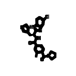 Cc1cc(C(=O)N[C@@H](Cc2ccsc2)c2nc3cc(Cl)ccc3[nH]2)ccc1C(=O)N1CCCC1